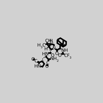 CC1(C)[C@@H]2[C@@H](C(=O)N[C@@H](C[C@@H]3CCNC3=C=O)C(N)=C=O)N(C(=O)[C@@H](NC(=O)C(F)(F)F)C34CC5CC(CC(C5)C3)C4)C[C@@H]21